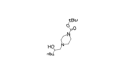 CCCCC(O)CN1CCN(C(=O)OC(C)(C)C)CC1